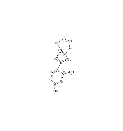 Oc1ccc(-c2cn3c(n2)CNCC3)c(O)c1